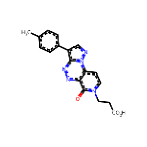 Cc1ccc(-c2cnn3c2nnc2c(=O)n(CCC(=O)O)ccc23)cc1